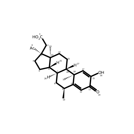 CC(=O)[C@@]1(CC(=O)O)CC[C@H]2[C@@H]3C[C@H](C)C4=CC(=O)C(O)=C[C@]4(C)[C@H]3CC[C@@]21C